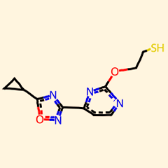 SCCOc1nccc(-c2noc(C3CC3)n2)n1